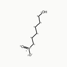 O=[N+]([O-])CCCCCCO